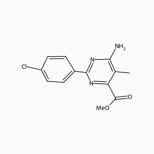 COC(=O)c1nc(-c2ccc(Cl)cc2)nc(N)c1C